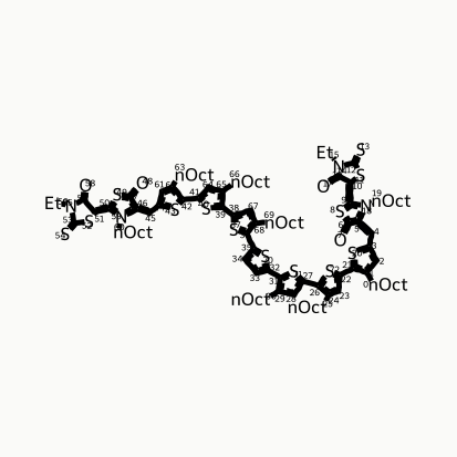 CCCCCCCCc1cc(/C=c2\c(=O)s/c(=C3/SC(=S)N(CC)C3=O)n2CCCCCCCC)sc1-c1cc(CCCCCCCC)c(-c2cc(CCCCCCCC)c(-c3ccc(-c4sc(-c5sc(-c6sc(/C=c7\c(=O)s/c(=C8/SC(=S)N(CC)C8=O)n7CCCCCCCC)cc6CCCCCCCC)cc5CCCCCCCC)cc4CCCCCCCC)s3)s2)s1